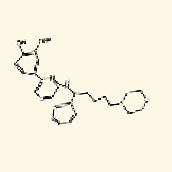 COc1cc(-c2cncc(NC(CCCCN3CCOCC3)c3ccccc3)n2)ccc1O